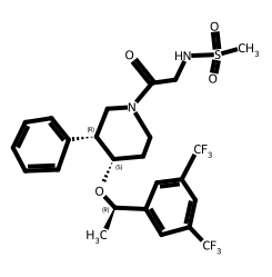 C[C@@H](O[C@H]1CCN(C(=O)CNS(C)(=O)=O)C[C@H]1c1ccccc1)c1cc(C(F)(F)F)cc(C(F)(F)F)c1